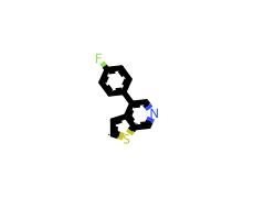 Fc1ccc(-c2cncc3s[c]cc23)cc1